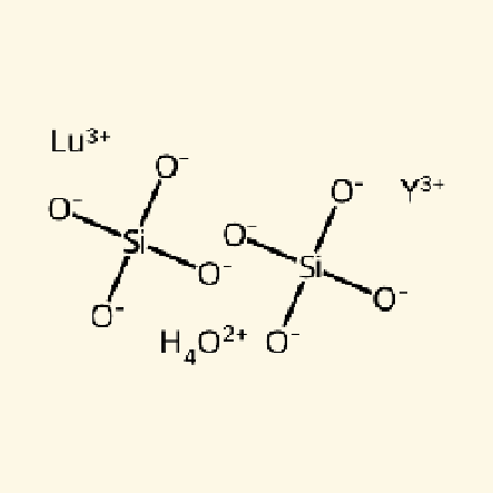 [Lu+3].[O-][Si]([O-])([O-])[O-].[O-][Si]([O-])([O-])[O-].[OH4+2].[Y+3]